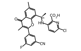 Cc1cc([C@@H](C)Nc2ccc(Cl)nc2C(=O)O)c2oc(-c3cc(F)cc(C#N)c3)c(C)c(=O)c2c1